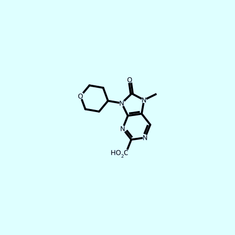 Cn1c(=O)n(C2CCOCC2)c2nc(C(=O)O)ncc21